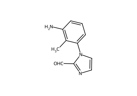 Cc1c(N)cccc1-n1ccnc1C=O